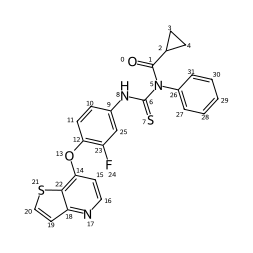 O=C(C1CC1)N(C(=S)Nc1ccc(Oc2ccnc3ccsc23)c(F)c1)c1ccccc1